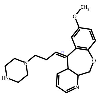 COc1ccc2c(c1)/C(=C/CCN1CCNCC1)C1C=CC=NC1CO2